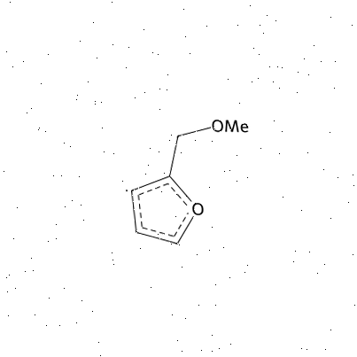 COCc1[c]cco1